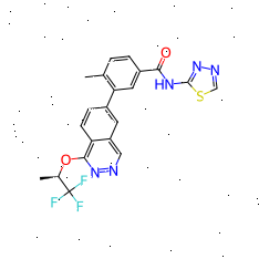 Cc1ccc(C(=O)Nc2nncs2)cc1-c1ccc2c(O[C@H](C)C(F)(F)F)nncc2c1